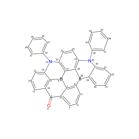 O=C1c2cccc3c2B2c4c1cccc4N(c1ccccc1)c1ccc4c(c12)B3c1ccccc1N4c1ccccc1